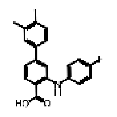 Cc1ccc(-c2ccc(C(=O)O)c(Nc3ccc(F)cc3)c2)cc1C